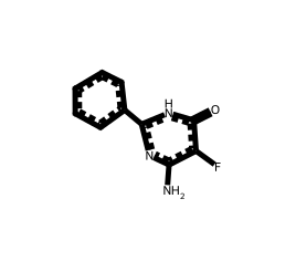 Nc1nc(-c2ccccc2)[nH]c(=O)c1F